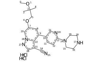 COC(C)(C)COc1cc(-c2ccc(N3CCNCC3)nc2)c2c(C#N)cnn2c1.Cl.Cl